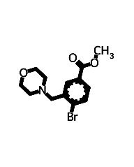 COC(=O)c1ccc(Br)c(CN2CCOCC2)c1